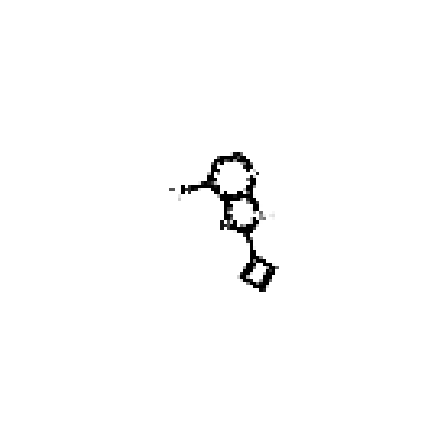 Nc1ccnc2[nH]c(C3=CC=C3)nc12